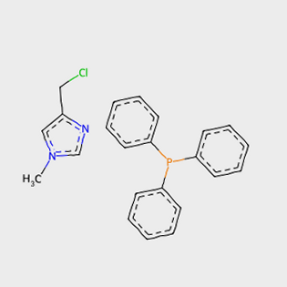 Cn1cnc(CCl)c1.c1ccc(P(c2ccccc2)c2ccccc2)cc1